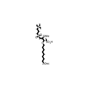 CCCCCCCCCCCCCCCCCCOCC(CS(=O)(=O)CCC[N+](C)(C)C)OC.CS(=O)(=O)O